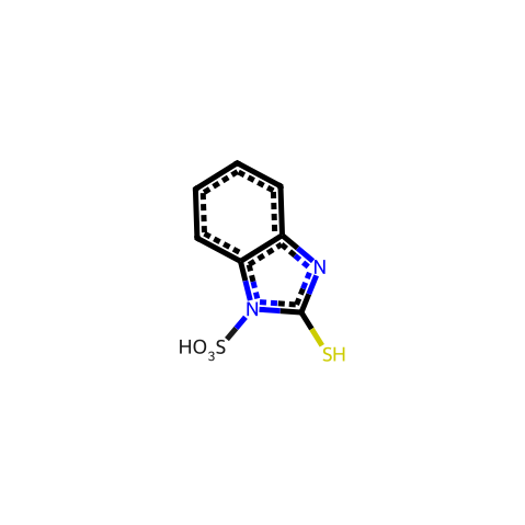 O=S(=O)(O)n1c(S)nc2ccccc21